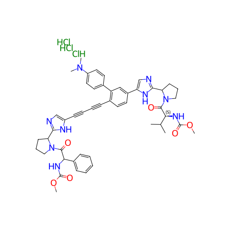 COC(=O)NC(C(=O)N1CCCC1c1ncc(C#CC#Cc2ccc(-c3cnc(C4CCCN4C(=O)[C@@H](NC(=O)OC)C(C)C)[nH]3)cc2-c2ccc(N(C)C)cc2)[nH]1)c1ccccc1.Cl.Cl.Cl